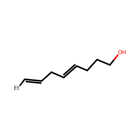 CCC=CCC=CCCCO